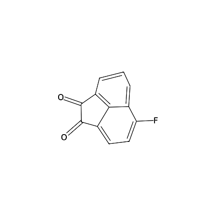 O=C1C(=O)c2ccc(F)c3cccc1c23